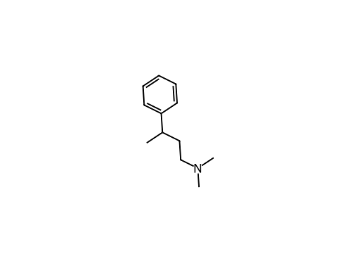 CC(CCN(C)C)c1ccccc1